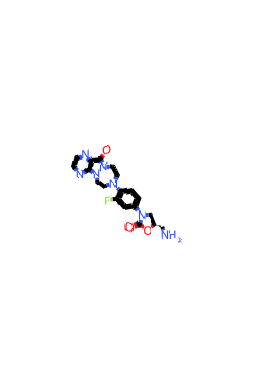 NC[C@H]1CN(c2ccc(N3CCn4c(=O)c5nccnc5n4CC3)c(F)c2)C(=O)O1